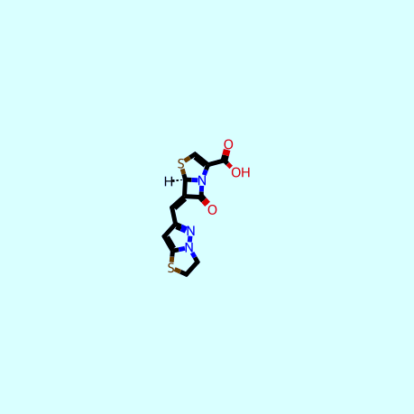 O=C(O)C1=CS[C@@H]2C(=Cc3cc4n(n3)CCS4)C(=O)N12